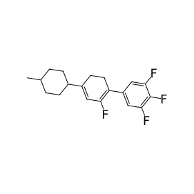 CC1CCC(C2=CC(F)=C(c3cc(F)c(F)c(F)c3)CC2)CC1